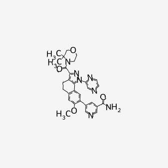 COc1cc2c(cc1-c1cncc(C(N)=O)c1)-c1c(c(C(=O)N3CCOCC3(C)C)nn1-c1cnccn1)CC2